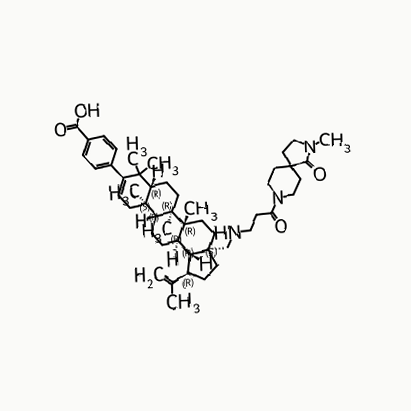 C=C(C)[C@@H]1CC[C@]2(CNCCC(=O)N3CCC4(CCN(C)C4=O)CC3)CC[C@]3(C)[C@H](CC[C@@H]4[C@@]5(C)CC=C(c6ccc(C(=O)O)cc6)C(C)(C)[C@@H]5CC[C@]43C)[C@@H]12